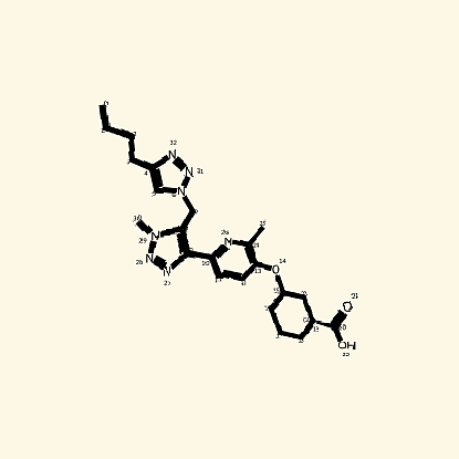 CCCCc1cn(Cc2c(-c3ccc(OC4CCC[C@H](C(=O)O)C4)c(C)n3)nnn2C)nn1